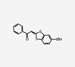 CC(C)(C)c1ccc2c(c1)S/C(=C/C(=O)c1ccccc1)S2